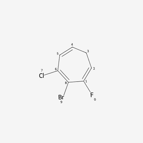 FC1=CCC=CC(Cl)=C1Br